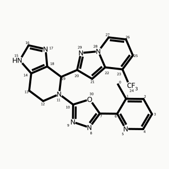 Cc1cccnc1-c1nnc(N2CCc3[nH]cnc3C2c2cc3c(C(F)(F)F)cccn3n2)o1